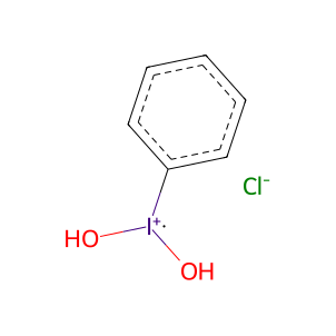 O[I+](O)c1ccccc1.[Cl-]